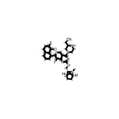 CN1[C@H]2CC[C@H](C2)[C@@H]1COc1nc(N2CCNC(CC#N)C2)c2cnc(-c3cccc4ccc(F)c(Cl)c34)c(F)c2n1